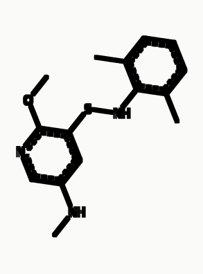 CNc1cnc(OC)c(SNc2c(C)cccc2C)c1